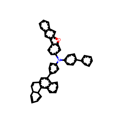 C1=CC2C=Cc3cc(-c4ccc(N(c5ccc(-c6ccccc6)cc5)c5ccc6c(c5)oc5cc7ccccc7cc56)cc4)c4ccccc4c3C2C=C1